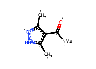 CNC(=O)c1c(C)n[nH]c1C